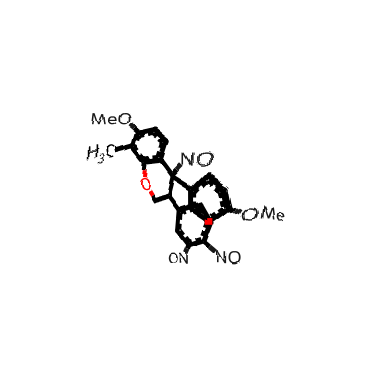 COc1ccc(C2(N=O)c3ccc(OC)c(C)c3OCC2c2ccc(N=O)c(N=O)c2)cc1